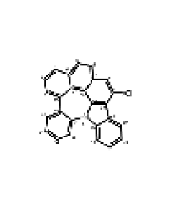 Clc1cc2ccc3cccc4c5ccccc5n5c6ccccc6c1c5c2c34